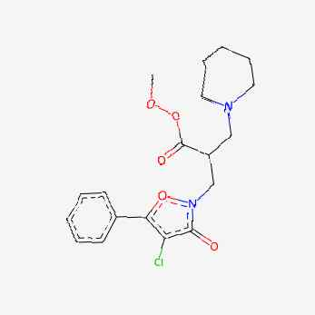 COOC(=O)C(CN1CCCCC1)Cn1oc(-c2ccccc2)c(Cl)c1=O